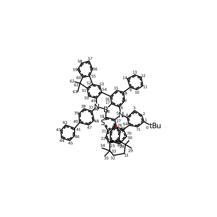 CC(C)(C)c1ccc(N2c3cc(-c4ccccc4)cc4c3B(c3sc5cc6c(cc5c32)C(C)(C)CCC6(C)C)N(c2ccc(-c3ccccc3)cc2)c2cc3c(cc2-4)-c2ccccc2C3(C)C)c(-c2ccccc2)c1